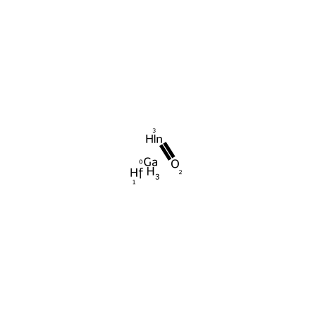 [GaH3].[Hf].[O]=[InH]